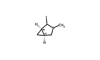 CN1C[C@H]2C[C@H]2C1I